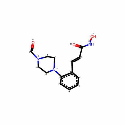 O=CN1CCN(c2ccccc2/C=C/C(=O)NO)CC1